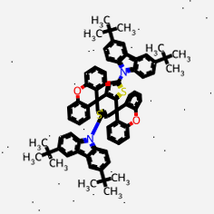 CC(C)(C)c1ccc2c(c1)c1cc(C(C)(C)C)ccc1n2-c1cc2c(s1)C1(c3ccccc3Oc3ccccc31)c1cc(-n3c4ccc(C(C)(C)C)cc4c4cc(C(C)(C)C)ccc43)sc1C21c2ccccc2Oc2ccccc21